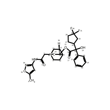 Cc1cc(NC(=O)C[N+]23CCC(CC2)[C@@H](OC(=O)C(O)(c2ccccc2)C2CCC(F)(F)C2)C3)no1